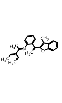 C=CC(=C\C)/C(C)=N/c1ccccc1C(=C)c1oc2ccccc2c1C